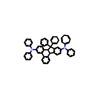 C1=CCC=CC(N(c2ccccc2)c2ccc3c(c2)C(C2=CCCC=C2)(c2ccccc2)C2c4ccc(N(c5ccccc5)c5ccccc5)cc4-c4ccccc4C32)=C1